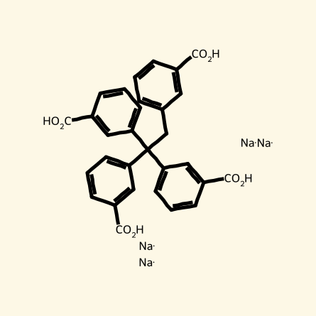 O=C(O)c1cccc(CC(c2cccc(C(=O)O)c2)(c2cccc(C(=O)O)c2)c2cccc(C(=O)O)c2)c1.[Na].[Na].[Na].[Na]